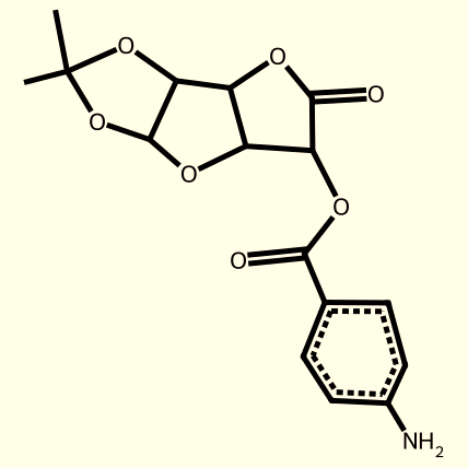 CC1(C)OC2OC3C(OC(=O)c4ccc(N)cc4)C(=O)OC3C2O1